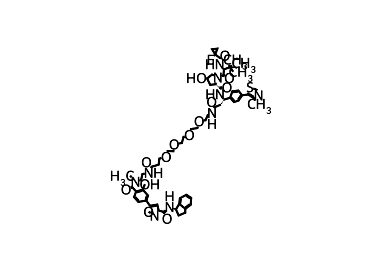 Cc1ncsc1-c1ccc([C@H](CC(=O)NCCOCCOCCOCCOCCC(=O)NCCN(C)C(=O)c2ccc(-c3cc(C(=O)N[C@@H]4CCc5ccccc54)no3)cc2O)NC(=O)[C@@H]2C[C@@H](O)CN2C(=O)[C@@H](NC(=O)C2(F)CC2)C(C)(C)C)cc1